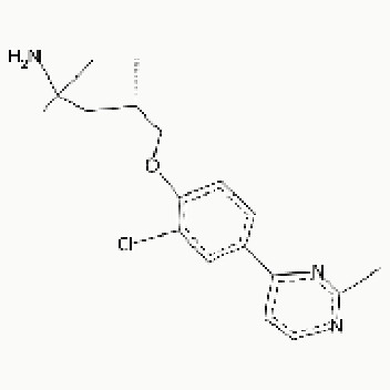 Cc1nccc(-c2ccc(OC[C@@H](C)CC(C)(C)N)c(Cl)c2)n1